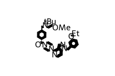 CCOc1cccc(Cn2ncc3c(N4CCN(C(=O)[C@H]5CC[C@H](CN(CCOC)C(C)(C)C)CC5)CC4)nccc32)c1